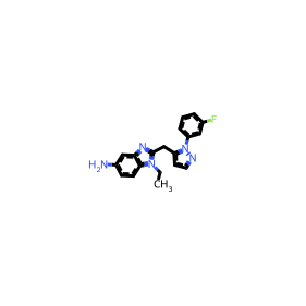 CCn1c(Cc2ccnn2-c2cccc(F)c2)nc2cc(N)ccc21